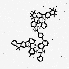 Cc1cc2c3c(c1)-n1c4cc5c(cc4c4cccc(c41)B3c1cc3c(-c4ccc(-c6nc7cccc8c7n6-c6cccc7c6B8c6c8c(cc9c%10cc%11c(cc%10n-7c69)C(C)(C)C(C)(C)C%11(C)C)C(C)(C)C(C)(C)C8(C)C)cc4)cccc3c3nc(-c4ccccc4)n-2c13)-c1ccccc1C5(C)C